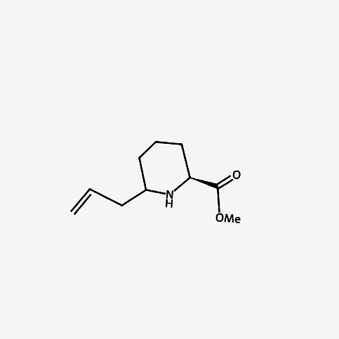 C=CCC1CCC[C@@H](C(=O)OC)N1